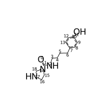 O=C(NCCCCc1ccc(O)cc1)N1CCNC1